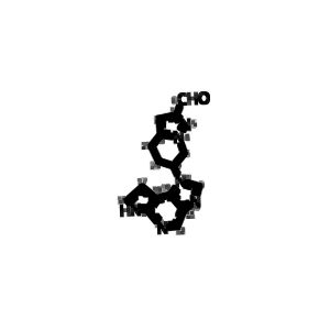 O=Cc1cc2n(n1)CC(n1cnc3cnc4[nH]ccc4c31)CC2